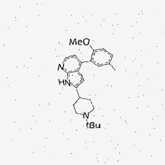 COc1ccc(C)cc1-c1ccnc2[nH]c(C3CCN(C(C)(C)C)CC3)cc12